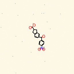 COC(=O)C1Cc2ccc(C(=O)c3ccc([N+](=O)[O-])cc3)cc2C1